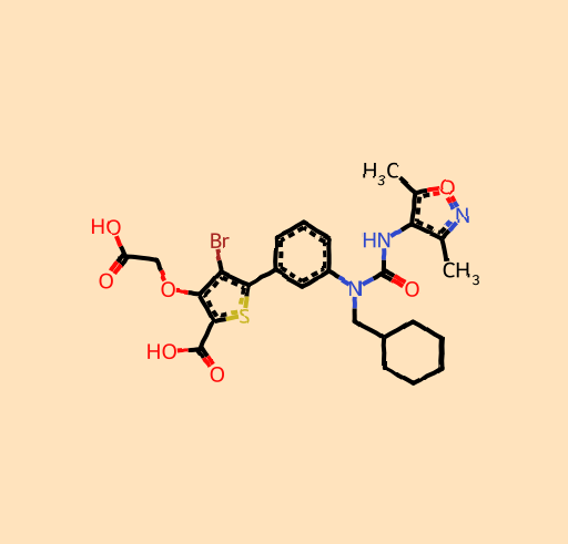 Cc1noc(C)c1NC(=O)N(CC1CCCCC1)c1cccc(-c2sc(C(=O)O)c(OCC(=O)O)c2Br)c1